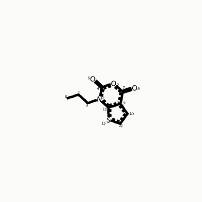 CCCn1c(=O)oc(=O)c2ccsc21